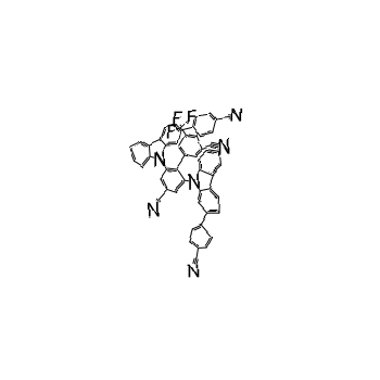 N#Cc1ccc(-c2ccc3c4ccccc4n(-c4cc(C#N)cc(-n5c6ccccc6c6ccc(-c7ccc(C#N)cc7)cc65)c4-c4cc(C#N)cc(C(F)(F)F)c4)c3c2)cc1